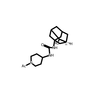 CC(=O)N1CCC(NC(=O)NC23CC4CC(C2)C(O)[C@@H](C4)C3)CC1